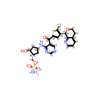 NS(=O)(=O)OC[C@H]1C[C@@H](Nc2ncncc2C(=O)c2cc([C@H]3OCCc4cccnc43)c(Cl)s2)C[C@@H]1O